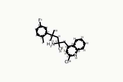 Cc1ccc(F)cc1C(C)(C)CC(N)(Cc1cc(Cl)nc2ccccc12)C(F)(F)F